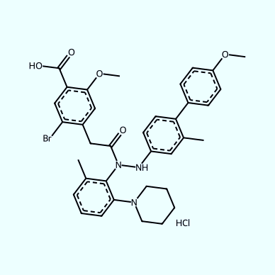 COc1ccc(-c2ccc(NN(C(=O)Cc3cc(OC)c(C(=O)O)cc3Br)c3c(C)cccc3N3CCCCC3)cc2C)cc1.Cl